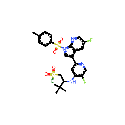 Cc1ccc(S(=O)(=O)n2cc(-c3cc(NC(CS(=O)(=O)Cl)C(C)(C)C)c(F)cn3)c3cc(F)cnc32)cc1